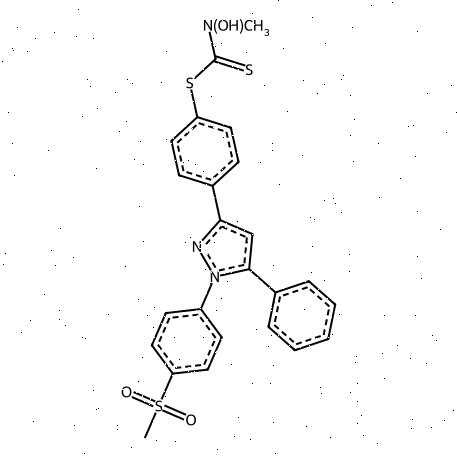 CN(O)C(=S)Sc1ccc(-c2cc(-c3ccccc3)n(-c3ccc(S(C)(=O)=O)cc3)n2)cc1